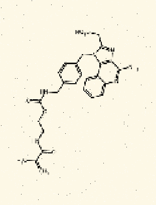 C=C(C)C(=O)NCCOC(=O)NCc1ccc(Cn2c(CC(=O)O)nc3c(N)nc4ccccc4c32)cc1